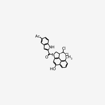 CC(=O)c1ccc2[nH]c(C(=O)N3C[C@@H](C(Cl)Cl)c4c3cc(O)c3cccc(C)c43)cc2c1